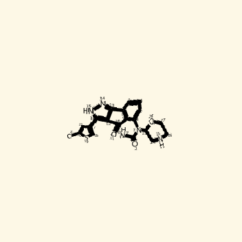 NC(=O)N(c1cccc2c1C(=O)c1c-2n[nH]c1-c1csc(Cl)c1)C1CNCCO1